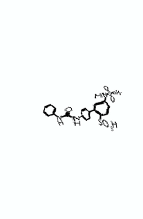 CCCS(=O)(=O)Nc1ccc(S(=O)(=O)O)c(-c2ccc(NC(=O)Nc3ccccc3)cc2)c1